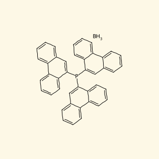 B.c1ccc2c(c1)cc(P(c1cc3ccccc3c3ccccc13)c1cc3ccccc3c3ccccc13)c1ccccc12